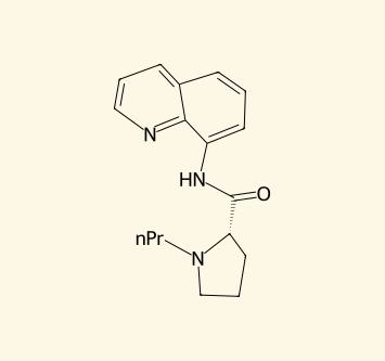 CCCN1CCC[C@H]1C(=O)Nc1cccc2cccnc12